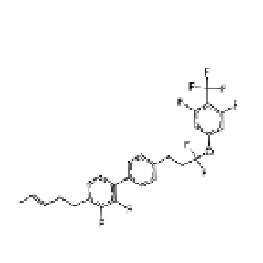 C/C=C/CCc1ccc(-c2ccc(CCC(F)(F)Oc3cc(F)c(C(F)(F)F)c(F)c3)cc2)c(F)c1F